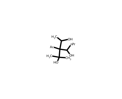 CCCC(O)C(C(C)=O)(C(C)O)C(C)(C)O